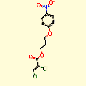 O=C(OCCCOc1ccc([N+](=O)[O-])cc1)C(Cl)=CCl